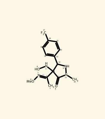 CO/N=C(\C)C1(NO)C(=O)N(C)NC1c1ccc(C(F)(F)F)cc1